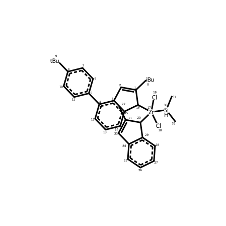 CCC(C)C1=Cc2c(-c3ccc(C(C)(C)C)cc3)cccc2[CH]1[Zr]([Cl])([Cl])([CH]1C(C)=Cc2ccccc21)[SiH](C)C